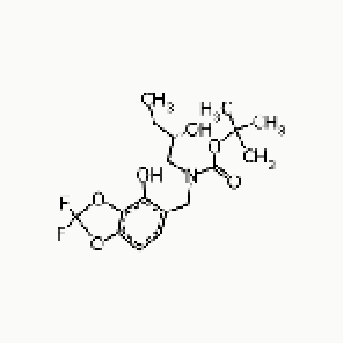 CC[C@H](O)CN(Cc1ccc2c(c1O)OC(F)(F)O2)C(=O)OC(C)(C)C